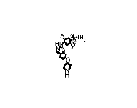 COc1cc(S(N)(=O)=O)c(OC)cc1Nc1ncc2ccc(OC3CCNCC3)cc2n1